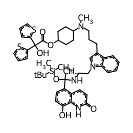 CN(CCCc1cn(CCNC(C)(O[Si](C)(C)C(C)(C)C)c2ccc(O)c3[nH]c(=O)ccc23)c2ccccc12)C1CCC(OC(=O)C(O)(c2cccs2)c2cccs2)CC1